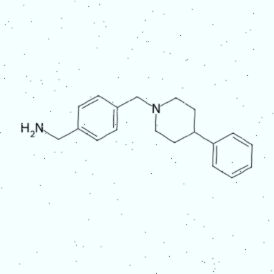 NCc1ccc(CN2CCC(c3ccccc3)CC2)cc1